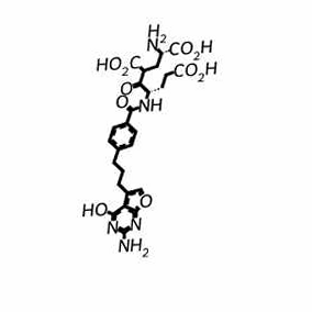 Nc1nc(O)c2c(CCCc3ccc(C(=O)N[C@@H](CCC(=O)O)C(=O)C(C[C@H](N)C(=O)O)C(=O)O)cc3)coc2n1